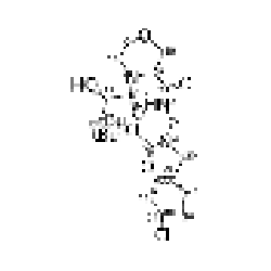 CC(C)(C)OC(=O)N(CNC(=O)C1COCCN1C(=O)C(O)C(C)(C)C)Cc1ccc(Cl)cc1